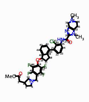 COC(=O)CC1CCN(Cc2c(F)c(F)c(OC3CCc4c(-c5cccc(NC(=O)c6nc7c(n6C)CCN(C)C7)c5Cl)cccc43)c(F)c2F)C1